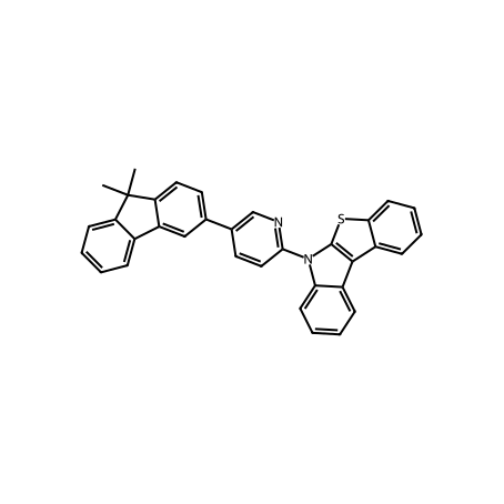 CC1(C)c2ccccc2-c2cc(-c3ccc(-n4c5ccccc5c5c6ccccc6sc54)nc3)ccc21